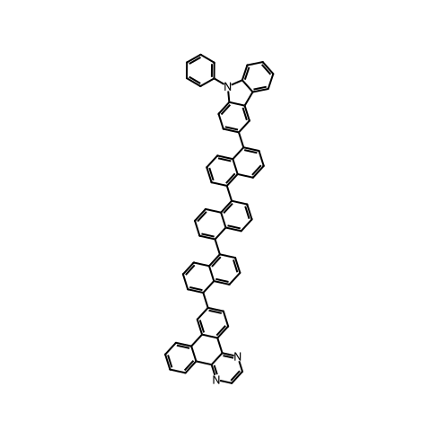 c1ccc(-n2c3ccccc3c3cc(-c4cccc5c(-c6cccc7c(-c8cccc9c(-c%10ccc%11c(c%10)c%10ccccc%10c%10nccnc%11%10)cccc89)cccc67)cccc45)ccc32)cc1